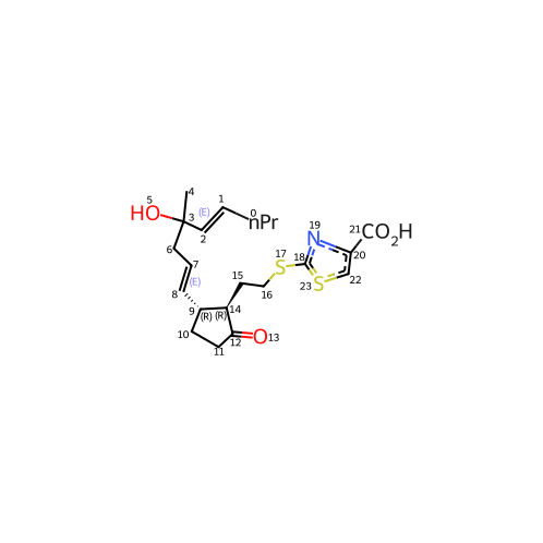 CCC/C=C/C(C)(O)C/C=C/[C@H]1CCC(=O)[C@@H]1CCSc1nc(C(=O)O)cs1